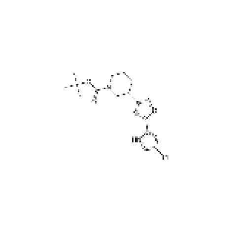 CC(C)(C)OC(=O)N1CCC[C@H](c2noc(-c3cc(Cl)c[nH]3)n2)C1